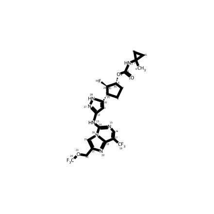 CC1(NC(=O)O[C@@H]2CC[C@H](c3cc(Nc4ncc(C(F)(F)F)c5nc(COC(F)(F)F)cn45)n[nH]3)[C@H]2F)CC1